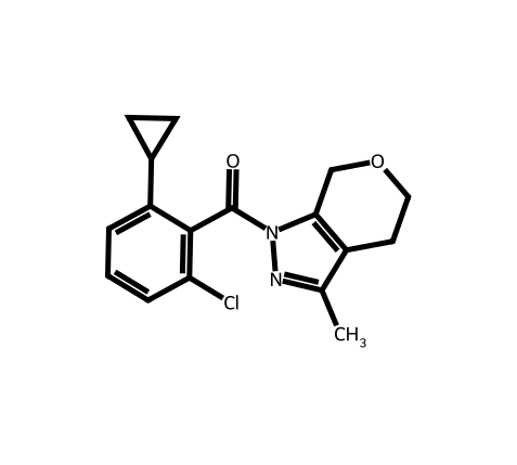 Cc1nn(C(=O)c2c(Cl)cccc2C2CC2)c2c1CCOC2